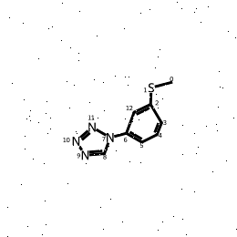 CSc1cccc(-n2cnnn2)c1